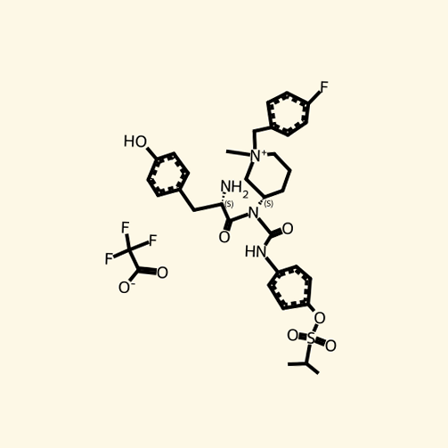 CC(C)S(=O)(=O)Oc1ccc(NC(=O)N(C(=O)[C@@H](N)Cc2ccc(O)cc2)[C@H]2CCC[N+](C)(Cc3ccc(F)cc3)C2)cc1.O=C([O-])C(F)(F)F